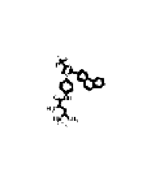 CNC(C)CC(C)C(=O)Nc1ccc(-n2cc(C(F)(F)F)nc2-c2ccc3c(ccc4ccccc43)c2)cc1